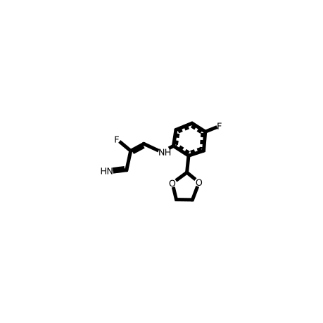 N=C/C(F)=C\Nc1ccc(F)cc1C1OCCO1